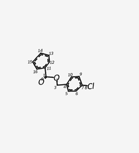 O=C(OCc1ccc(Cl)cc1)c1ccccc1